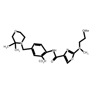 COCCN(C)c1nc(C(=O)Nc2ccc(CN3CCOCC3(C)C)cc2C(=O)O)co1